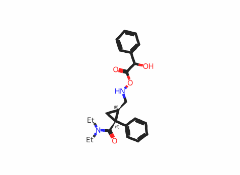 CCN(CC)C(=O)[C@@]1(c2ccccc2)C[C@H]1CNOC(=O)C(O)c1ccccc1